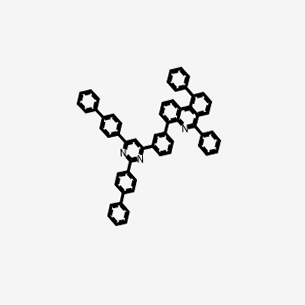 c1ccc(-c2ccc(-c3cc(-c4cccc(-c5cccc6c5nc(-c5ccccc5)c5cccc(-c7ccccc7)c56)c4)nc(-c4ccc(-c5ccccc5)cc4)n3)cc2)cc1